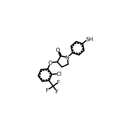 O=C1C(Oc2cccc(C(F)(F)F)c2Cl)CCN1c1ccc(S)cc1